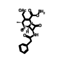 BOC(=O)C1=C(COC(C)=O)[C@@H](C)[S+]([O-])[C@@H]2[C@H](NC(=O)Cc3ccccc3)C(=O)N12